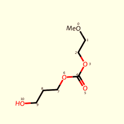 COCCOC(=O)OCCCO